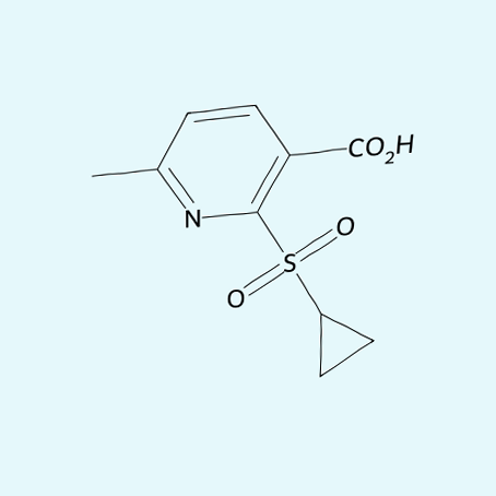 Cc1ccc(C(=O)O)c(S(=O)(=O)C2CC2)n1